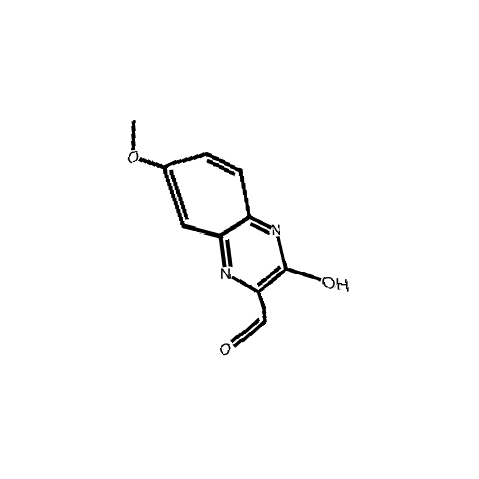 COc1ccc2nc(O)c(C=O)nc2c1